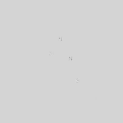 FC1CN(c2ccn3c(n2)nc2ccccc23)C1